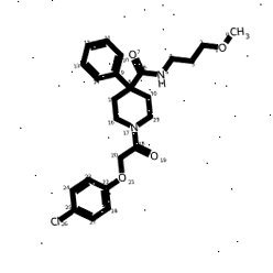 COCCCNC(=O)C1(c2ccccc2)CCN(C(=O)COc2ccc(Cl)cc2)CC1